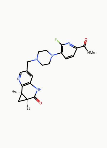 CC[C@]12C[C@H]1c1ncc(CN3CCN(c4ccc(C(=O)NC)nc4F)CC3)cc1NC2=O